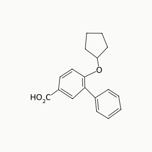 O=C(O)c1ccc(OC2CCCC2)c(-c2ccccc2)c1